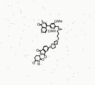 COc1cc(-c2cn(C)c(=O)c3cnccc23)cc(OC)c1CN(C)CCCCN1CC2(CCN(c3ccc4c(c3)C(=O)N(C3CCC(=O)NC3=O)C4=O)C2)C1